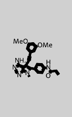 C=CC(=O)Nc1ccc(-c2c(C#Cc3cc(OC)cc(OC)c3)c3c(N)ncnc3n2C)cc1